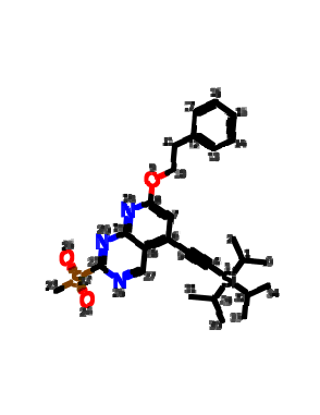 CC(C)[Si](C#Cc1cc(OCCc2ccccc2)nc2nc(S(C)(=O)=O)ncc12)(C(C)C)C(C)C